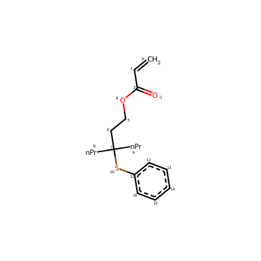 C=CC(=O)OCCC(CCC)(CCC)Sc1ccccc1